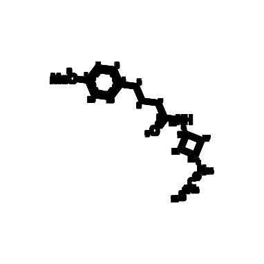 COc1ccc(CCCC(=O)N[C@H]2C[C@@H](N=C=S)C2)cc1